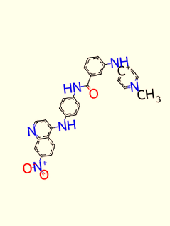 Cn1cc[c+](Nc2cccc(C(=O)Nc3ccc(Nc4ccnc5cc([N+](=O)[O-])ccc45)cc3)c2)cc1